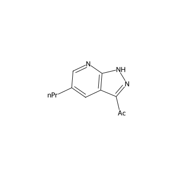 CCCc1cnc2[nH]nc(C(C)=O)c2c1